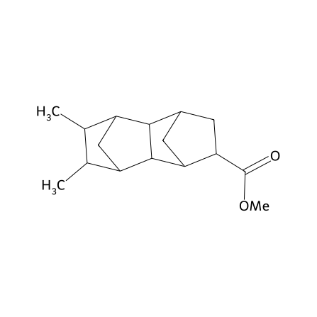 COC(=O)C1CC2CC1C1C3CC(C(C)C3C)C21